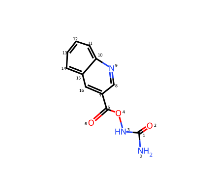 NC(=O)NOC(=O)c1cnc2ccccc2c1